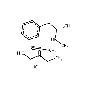 CC#N.CCNCC.CN[C@@H](C)Cc1ccccc1.Cl